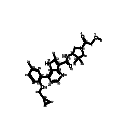 COCC(=O)N1CC(NC(=O)c2c(C)[nH]c3c(-c4cc(C)ccc4OCC4CC4)ncnc23)C(C)(C)C1